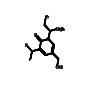 CCOC(=O)C(CC(C)C)n1cc(CC=O)cc(C(F)F)c1=O